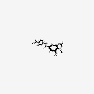 COc1c(Cl)cc(C(=O)Nc2ccc(C(C)=O)c(C)c2)cc1OC(C)C